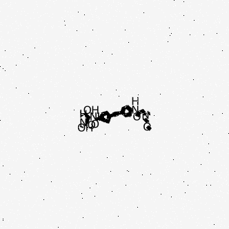 COCCN(C)CC(=O)Nc1ccc(C#Cc2ccc(C(=O)N[C@H](C(=O)NO)[C@@H](C)O)cc2)cc1